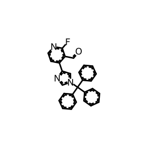 O=Cc1c(-c2cn(C(c3ccccc3)(c3ccccc3)c3ccccc3)cn2)ccnc1F